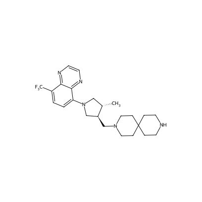 C[C@H]1CN(c2ccc(C(F)(F)F)c3nccnc23)C[C@@H]1CN1CCC2(CCNCC2)CC1